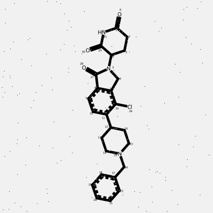 O=C1CCC(N2Cc3c(ccc(C4CCN(Cc5ccccc5)CC4)c3Cl)C2=O)C(=O)N1